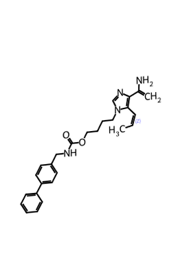 C=C(N)c1ncn(CCCCOC(=O)NCc2ccc(-c3ccccc3)cc2)c1/C=C\C